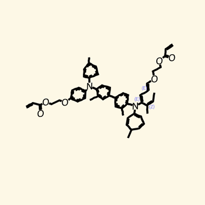 C=CC(=O)OCCO/C=C/C=C(\C(C)=C/C)N(C1=CC=CC(C)C=C1)c1ccc(-c2ccc(N(c3ccc(C)cc3)c3ccc(OCCOC(=O)C=C)cc3)c(C)c2)cc1C